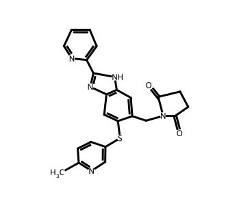 Cc1ccc(Sc2cc3nc(-c4ccccn4)[nH]c3cc2CN2C(=O)CCC2=O)cn1